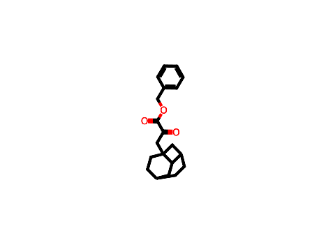 O=C(CC12CCC3CCC(C1)C2C3)C(=O)OCc1ccccc1